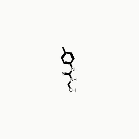 Cc1ccc(NC(=S)NCO)cc1